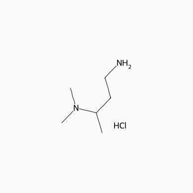 CC(CCN)N(C)C.Cl